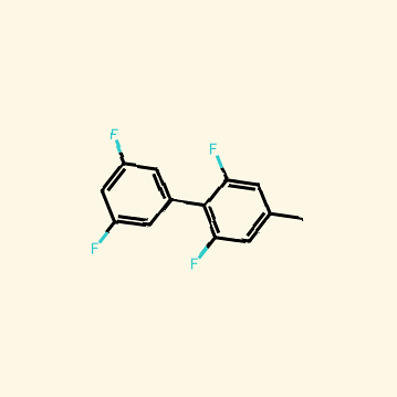 Cc1cc(F)c(-c2cc(F)cc(F)c2)c(F)c1